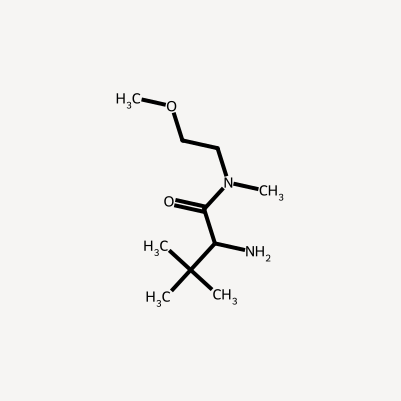 COCCN(C)C(=O)C(N)C(C)(C)C